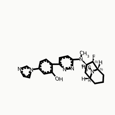 CN(c1ccc(-c2ccc(-n3ccnc3)cc2O)nn1)[C@@H]1C[C@H]2CCC[C@@H]([C@@H]1F)N2C